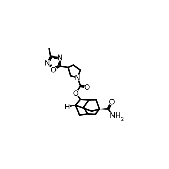 Cc1noc(C2CCN(C(=O)OC3C4CC5C[C@H]3C[C@@](C(N)=O)(C5)C4)C2)n1